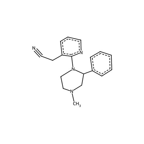 CN1CCN(c2ncccc2CC#N)C(c2ccccc2)C1